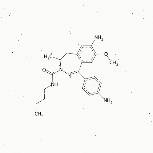 CCCCNC(=O)N1N=C(c2ccc(N)cc2)c2cc(OC)c(N)cc2CC1C